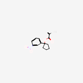 C=C(C)C(=O)OC1(c2cccc([N+](=O)[O-])c2)CCCC1